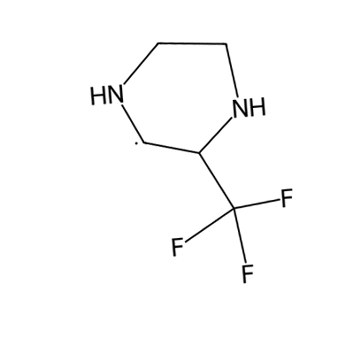 FC(F)(F)C1[CH]NCCN1